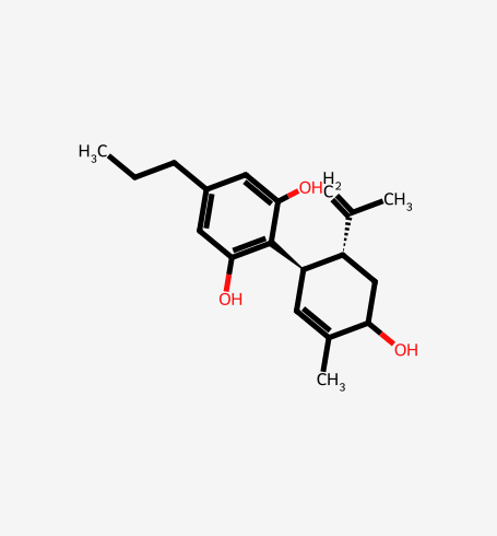 C=C(C)[C@@H]1CC(O)C(C)=C[C@H]1c1c(O)cc(CCC)cc1O